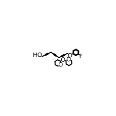 C1CCC(OC2CCCCO2)OC1.OCC#CCC#CCC#CCOc1cccc(F)c1